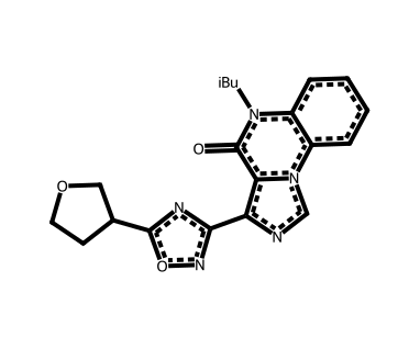 CCC(C)n1c(=O)c2c(-c3noc(C4CCOC4)n3)ncn2c2ccccc21